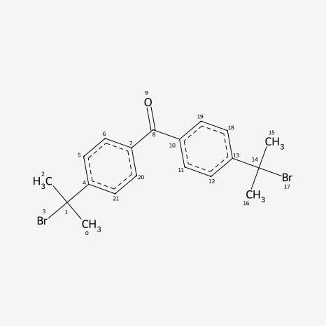 CC(C)(Br)c1ccc(C(=O)c2ccc(C(C)(C)Br)cc2)cc1